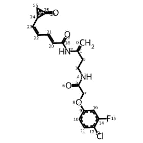 C=C(CCNC(=O)COc1ccc(Cl)c(F)c1)NC(=O)/C=C/C=C\c1cc1=O